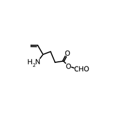 C=CC(N)CCC(=O)OC=O